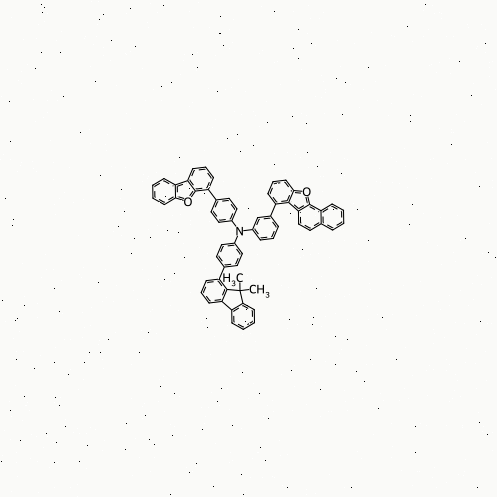 CC1(C)c2ccccc2-c2cccc(-c3ccc(N(c4ccc(-c5cccc6c5oc5ccccc56)cc4)c4cccc(-c5cccc6oc7c8ccccc8ccc7c56)c4)cc3)c21